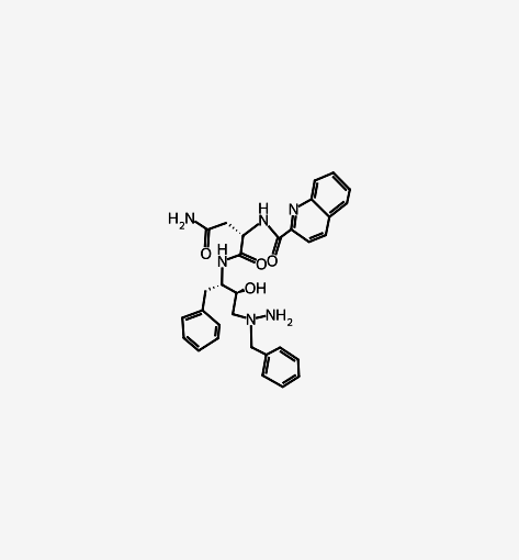 NC(=O)C[C@H](NC(=O)c1ccc2ccccc2n1)C(=O)N[C@@H](Cc1ccccc1)[C@@H](O)CN(N)Cc1ccccc1